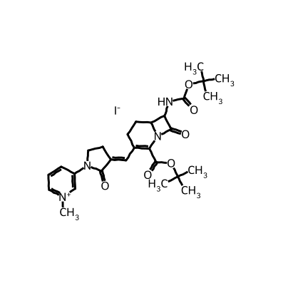 C[n+]1cccc(N2CCC(=CC3=C(C(=O)OC(C)(C)C)N4C(=O)C(NC(=O)OC(C)(C)C)C4CC3)C2=O)c1.[I-]